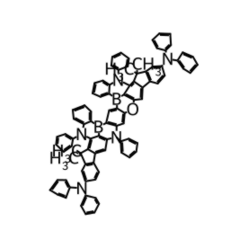 CC1(C)c2cc(N(c3ccccc3)c3ccccc3)ccc2-c2cc3c4c(c21)N(c1ccccc1)c1ccccc1B4c1cc2c(cc1O3)N(c1ccccc1)c1cc3c(c4c1B2c1ccccc1N4c1ccccc1)C(C)(C)c1cc(N(c2ccccc2)c2ccccc2)ccc1-3